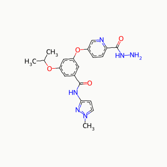 CC(C)Oc1cc(Oc2ccc(C(=O)NN)nc2)cc(C(=O)Nc2ccn(C)n2)c1